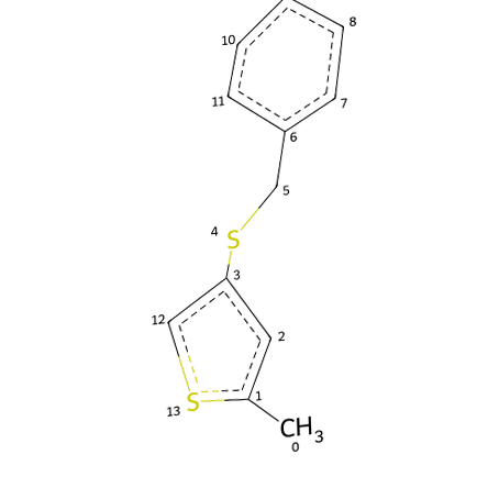 Cc1cc(SCc2ccccc2)cs1